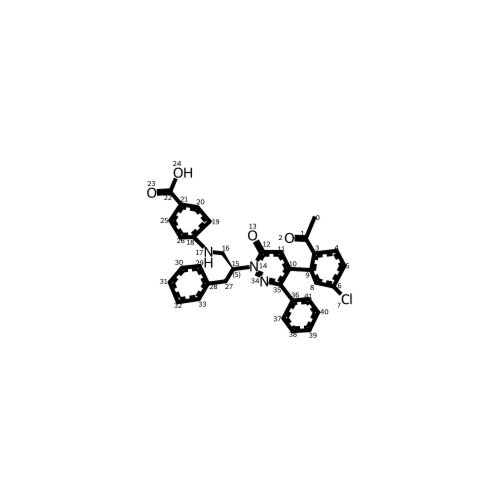 CC(=O)c1ccc(Cl)cc1-c1cc(=O)n([C@H](CNc2ccc(C(=O)O)cc2)Cc2ccccc2)nc1-c1ccccc1